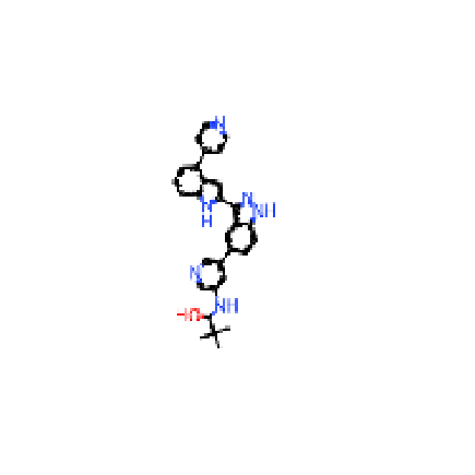 CC(C)(C)C(O)Nc1cncc(-c2ccc3[nH]nc(-c4cc5c(-c6ccncc6)cccc5[nH]4)c3c2)c1